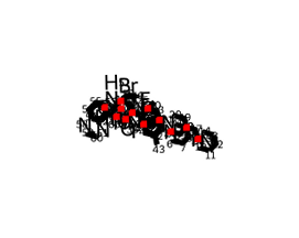 COc1cc(N2CCC(N3CC4CC(C3)N4CCC3CCN(c4cc(F)c(C5CCC(=O)NC5=O)c(F)c4)CC3)CC2)c(C)cc1Nc1ncc(Br)c(Nc2ccc3nccnc3c2P(C)(C)=O)n1